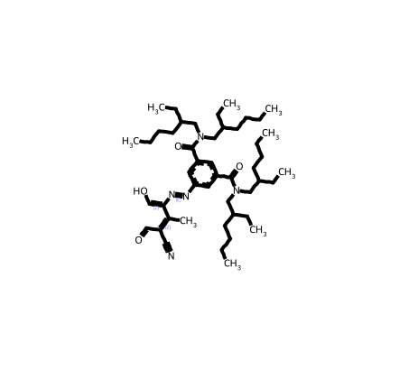 CCCCC(CC)CN(CC(CC)CCCC)C(=O)c1cc(/N=N/C(=C\O)C(/C)=C(/C#N)C=O)cc(C(=O)N(CC(CC)CCCC)CC(CC)CCCC)c1